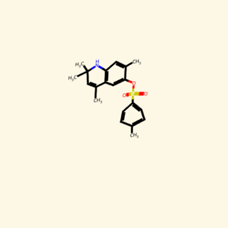 CC1=CC(C)(C)Nc2cc(C)c(OS(=O)(=O)c3ccc(C)cc3)cc21